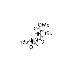 CCCCNC(=O)[C@H](C)NC(=O)[C@H](CC(C)(C)C)N[C@H](C)C(=O)OC